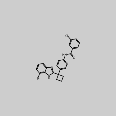 O=C(Nc1ccc(C2(c3nc4cccc(Br)c4[nH]3)CCC2)cn1)c1cccc(Cl)c1